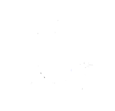 C=c1/c(=C(\C)S)c2cc(C)ccc2n1C